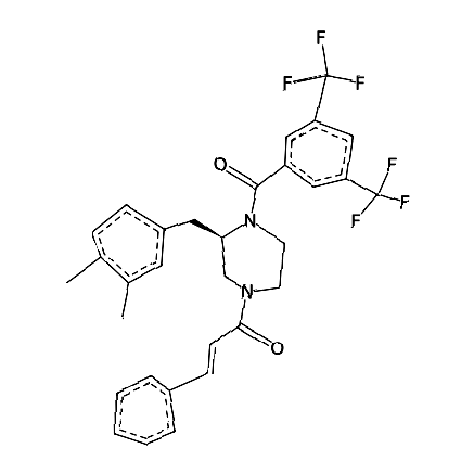 Cc1ccc(C[C@@H]2CN(C(=O)/C=C/c3ccccc3)CCN2C(=O)c2cc(C(F)(F)F)cc(C(F)(F)F)c2)cc1C